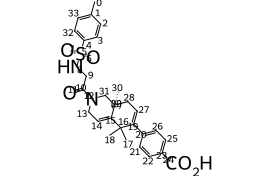 Cc1ccc(S(=O)(=O)NCC(=O)N2CC=C3C(C)(C)C(c4ccc(C(=O)O)cc4)=CC[C@]3(C)C2)cc1